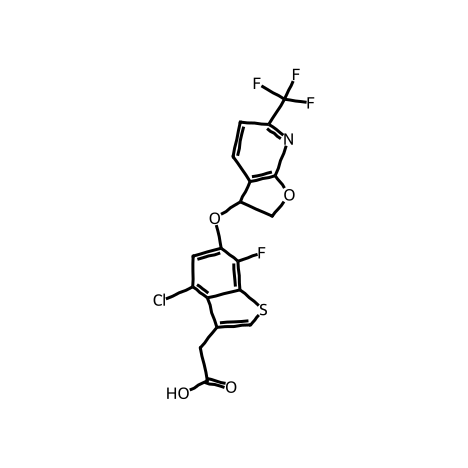 O=C(O)Cc1csc2c(F)c(OC3COc4nc(C(F)(F)F)ccc43)cc(Cl)c12